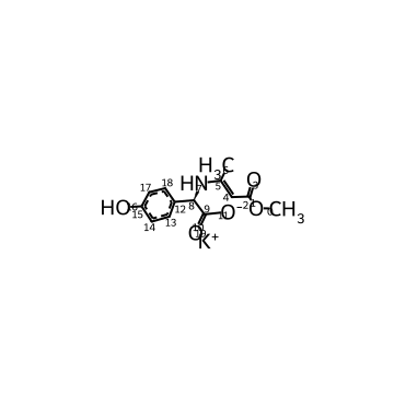 COC(=O)C=C(C)N[C@@H](C(=O)[O-])c1ccc(O)cc1.[K+]